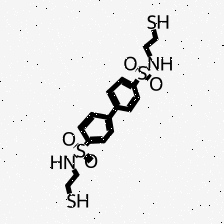 O=S(=O)(NCCS)c1ccc(-c2ccc(S(=O)(=O)NCCS)cc2)cc1